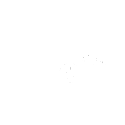 CCCCC(CCC)CCCCCCCCCC(=O)OC(C)(C1=C(C(=O)[O-])N2C(=O)C(NC(=O)/C(=N\OCC)c3nsc(N)n3)[C@H]2SC1)[n+]1ccccc1